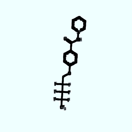 O=C(N[n+]1ccccc1)c1ccc(OCC(F)(F)C(F)(F)C(F)(F)C(F)(F)F)cc1